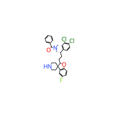 CN(C[C@@H](CCC1Oc2ccc(F)cc2C12CCNCC2)c1ccc(Cl)c(Cl)c1)C(=O)c1ccccc1